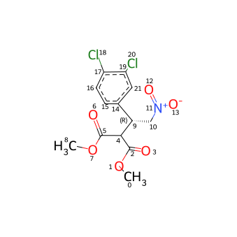 COC(=O)C(C(=O)OC)[C@@H](C[N+](=O)[O-])c1ccc(Cl)c(Cl)c1